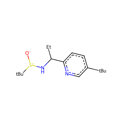 CCC(N[S+]([O-])C(C)(C)C)c1ccc(C(C)(C)C)cn1